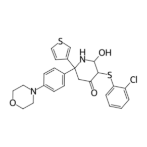 O=C1CC(c2ccc(N3CCOCC3)cc2)(c2ccsc2)NC(O)C1Sc1ccccc1Cl